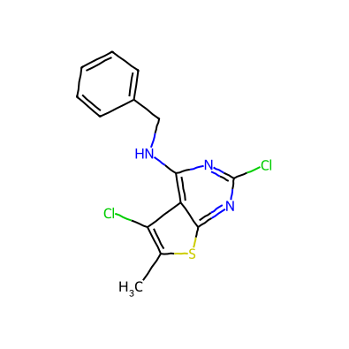 Cc1sc2nc(Cl)nc(NCc3ccccc3)c2c1Cl